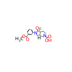 COC(=O)c1cccc(N2C[C@@H]3CN(C(=O)O)CC[C@]3(F)C2=O)c1